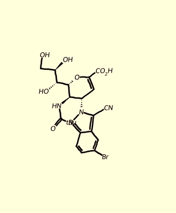 CC(C)(C)C(=O)N[C@H]1[C@H]([C@H](O)[C@H](O)CO)OC(C(=O)O)=C[C@@H]1n1nc2ccc(Br)cc2c1C#N